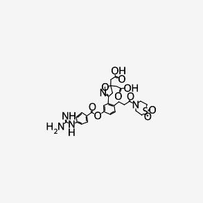 N=C(N)Nc1ccc(C(=O)Oc2ccc(CCC(=O)N3CCS(=O)(=O)CC3)c(C3=NOC(CC(=O)O)(CC(=O)O)C3)c2)cc1